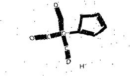 O=[C]=[Cr-](=[C]=O)(=[C]=O)[C]1=CC=CC1.[H-]